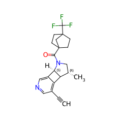 C#Cc1cncc2c1C1[C@@H]2N(C(=O)C23CCC(C(F)(F)F)(CC2)C3)C[C@@H]1C